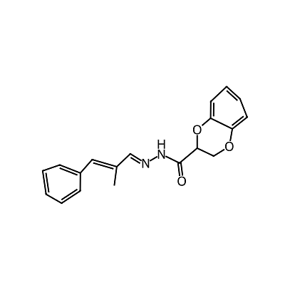 CC(/C=N/NC(=O)C1COc2ccccc2O1)=C\c1ccccc1